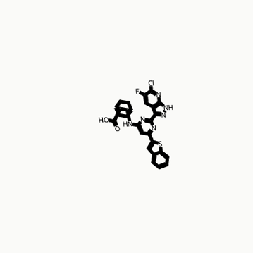 O=C(O)C1C2CCC(CC2)C1Nc1cc(-c2cc3ccccc3s2)nc(-c2n[nH]c3nc(Cl)c(F)cc23)n1